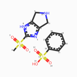 CS(=O)(=O)c1nc2c([nH]1)CNC2.O=S(=O)(O)c1ccccc1